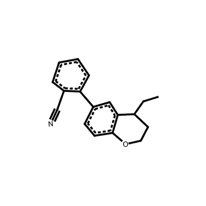 CCC1CCOc2ccc(-c3ccccc3C#N)cc21